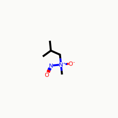 CC(C)C[N+](C)([O-])N=O